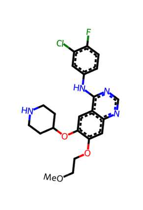 COCCOc1cc2ncnc(Nc3ccc(F)c(Cl)c3)c2cc1OC1CCNCC1